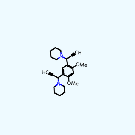 C#CC(c1cc(C(C#C)N2CCCCC2)c(OC)cc1OC)N1CCCCC1